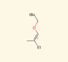 CC/C(C)=C/OCC(C)(C)C